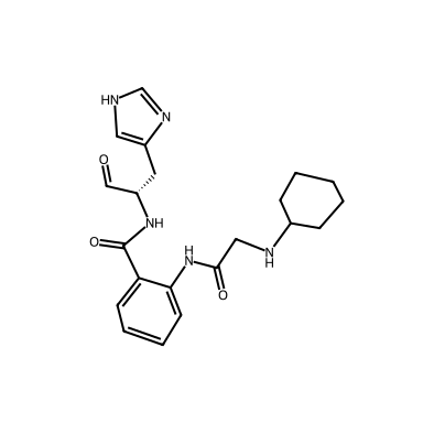 O=C[C@H](Cc1c[nH]cn1)NC(=O)c1ccccc1NC(=O)CNC1CCCCC1